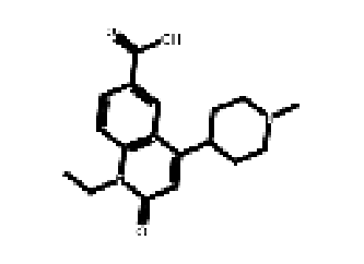 CCn1c(=O)cc(C2CCN(C)CC2)c2cc(C(=O)O)ccc21